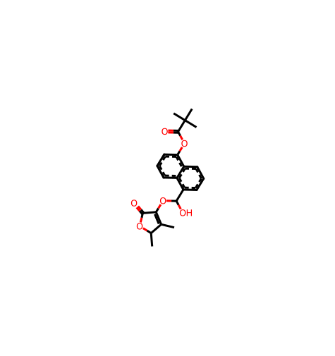 CC1=C(OC(O)c2cccc3c(OC(=O)C(C)(C)C)cccc23)C(=O)OC1C